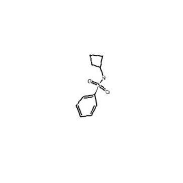 O=S(=O)([N]C1CCC1)c1ccccc1